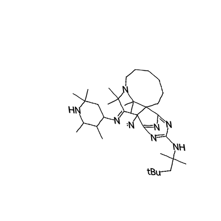 CC1NC(C)(C)CC(N=C2C(C)(C)N3CCCCCCC4(c5nc(NC(C)(C)CC(C)(C)C)nc(n5)C24[N])C3(C)C)C1C